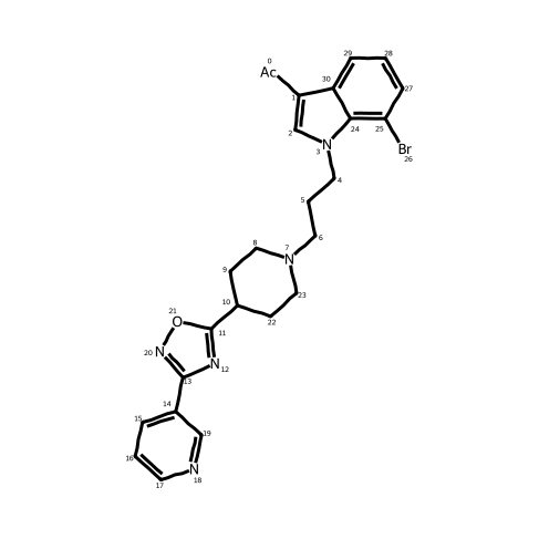 CC(=O)c1cn(CCCN2CCC(c3nc(-c4cccnc4)no3)CC2)c2c(Br)cccc12